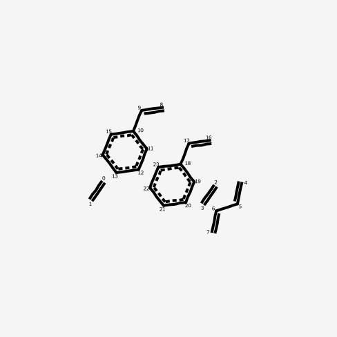 C=C.C=C.C=CC=C.C=Cc1ccccc1.C=Cc1ccccc1